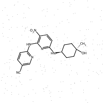 C[C@]1(O)CC[C@@H](Nc2ccc([N+](=O)[O-])c(Nc3ccc(C#N)cn3)n2)CC1